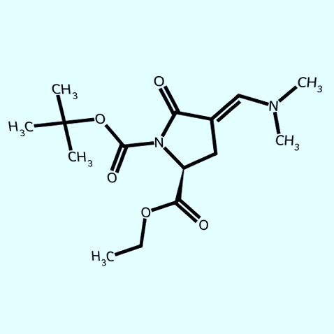 CCOC(=O)[C@@H]1C/C(=C\N(C)C)C(=O)N1C(=O)OC(C)(C)C